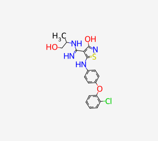 CC(CO)NC(=N)c1c(O)nsc1Nc1ccc(Oc2ccccc2Cl)cc1